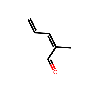 C=C/C=C(/C)C=O